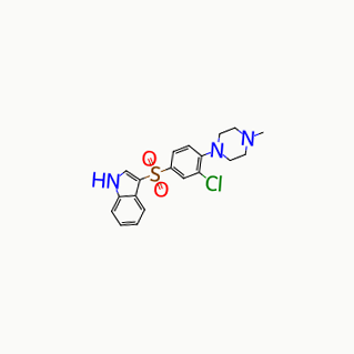 CN1CCN(c2ccc(S(=O)(=O)c3c[nH]c4ccccc34)cc2Cl)CC1